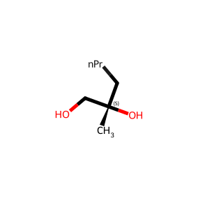 CCCC[C@](C)(O)CO